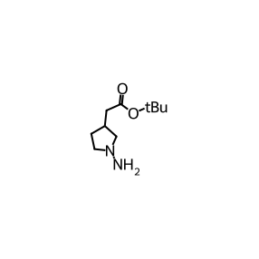 CC(C)(C)OC(=O)CC1CCN(N)C1